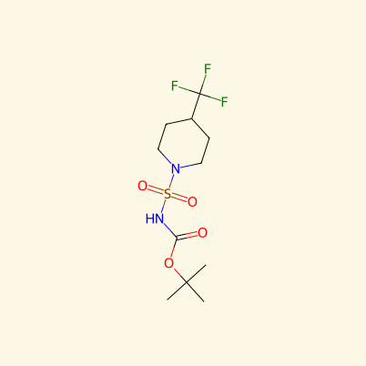 CC(C)(C)OC(=O)NS(=O)(=O)N1CCC(C(F)(F)F)CC1